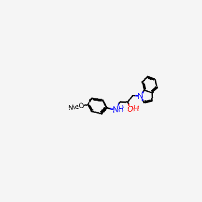 COc1ccc(NCC(O)Cn2ccc3ccccc32)cc1